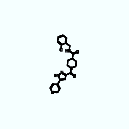 O=C(NCc1ccccc1Cl)C1CCN(C(=O)c2cc(-c3ccncc3)[nH]n2)CC1